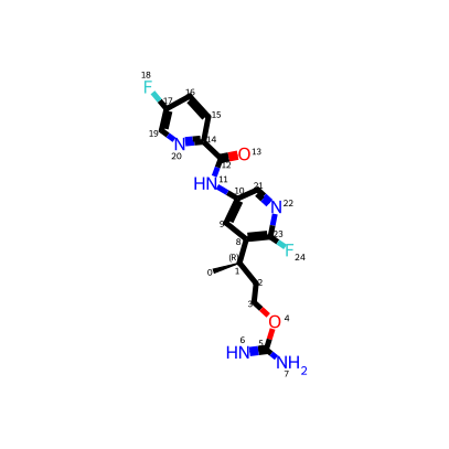 C[C@H](CCOC(=N)N)c1cc(NC(=O)c2ccc(F)cn2)cnc1F